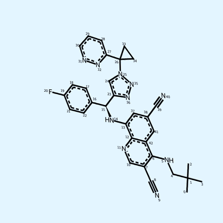 CC(C)(C)CNc1c(C#N)cnc2c(N[C@@H](c3ccc(F)cc3)c3cn(C4(c5cccnn5)CC4)nn3)cc(C#N)cc12